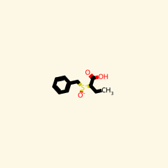 CCC(C(=O)O)[S+]([O-])Cc1ccccc1